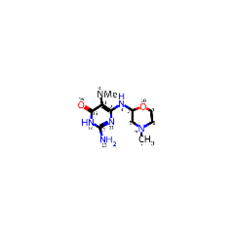 CNc1c(NC2CN(C)CCO2)nc(N)[nH]c1=O